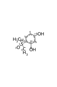 C[SH](C)(=O)c1ccc(O)cc1O